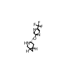 FC(F)(F)c1cnc(OC[C@@H]2C[C@@H]3C[C@@H]3CN2)cn1